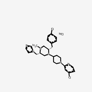 CN1C[C@H](Cc2ccc(Cl)cc2)N(C2CCN(c3cc(Cl)ccn3)CC2)C[C@@H]1Cn1ccnc1.Cl